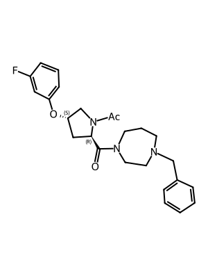 CC(=O)N1C[C@@H](Oc2cccc(F)c2)C[C@@H]1C(=O)N1CCCN(Cc2ccccc2)CC1